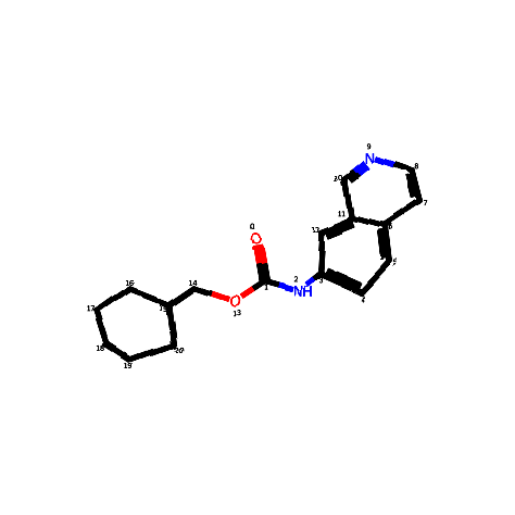 O=C(Nc1ccc2ccncc2c1)OCC1CCCCC1